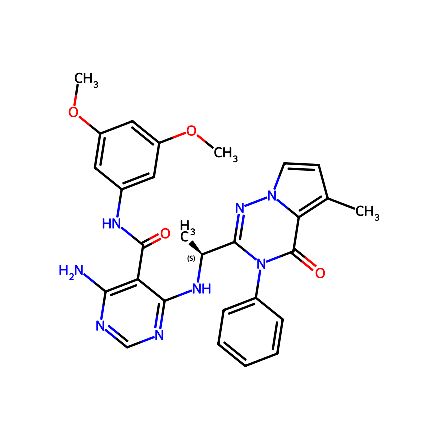 COc1cc(NC(=O)c2c(N)ncnc2N[C@@H](C)c2nn3ccc(C)c3c(=O)n2-c2ccccc2)cc(OC)c1